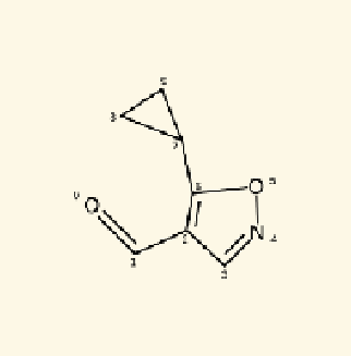 O=Cc1cnoc1C1CC1